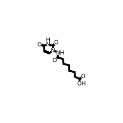 O=C(O)CCCCCCC(=O)Nn1ccc(=O)[nH]c1=O